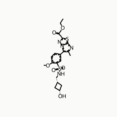 CCOC(=O)c1nn2c(-c3ccc(OC)c(S(=O)(=O)NC[C@H]4C[C@@H](O)C4)c3)c(C)nc2s1